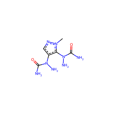 Cn1ncc(N(N)C(N)=O)c1N(N)C(N)=O